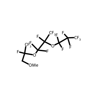 COCC(F)(OC(F)(F)C(F)(OC(F)(F)C(F)(F)C(F)(F)F)C(F)(F)F)C(F)(F)F